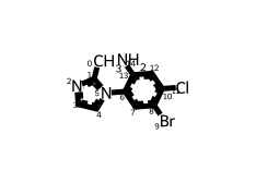 Cc1nccn1-c1cc(Br)c(Cl)cc1N